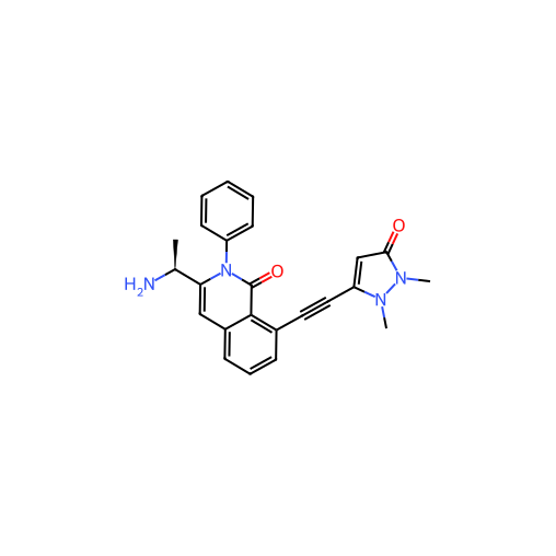 C[C@H](N)c1cc2cccc(C#Cc3cc(=O)n(C)n3C)c2c(=O)n1-c1ccccc1